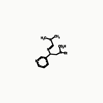 CCN(CC(N=CN(C)C)c1cccnc1)C(=O)O